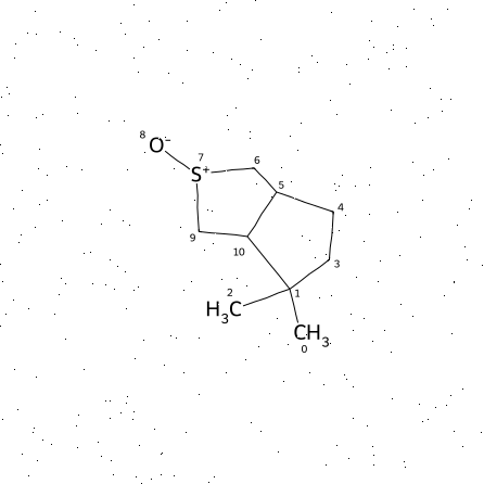 CC1(C)CCC2C[S+]([O-])CC21